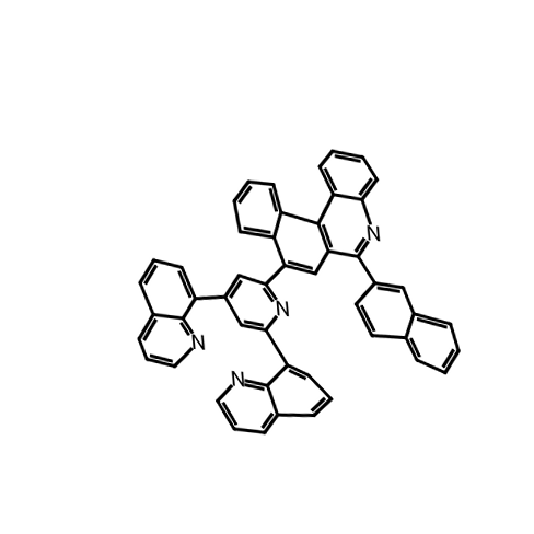 c1ccc2cc(-c3nc4ccccc4c4c3cc(-c3cc(-c5cccc6cccnc56)cc(-c5cccc6cccnc56)n3)c3ccccc34)ccc2c1